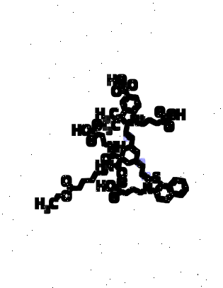 CCOC(=O)CCCCCNC(=O)C1(C(=O)NCCS(=O)(=O)O)CC(/C=C/C2=[N+](CCCS(=O)(=O)O)c3ccc(S(=O)(=O)O)cc3C2(C)C)=CC(=C/C=C2\Sc3c(ccc4ccccc34)N2CCCS(=O)(=O)O)/C1